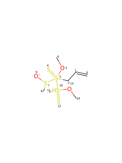 C=CCS(=S)(OC)([S+](C)[O-])[SH](C)(=S)OC